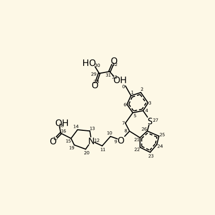 Cc1ccc2c(c1)CC(OCCN1CCC(C(=O)O)CC1)c1ccccc1S2.O=C(O)C(=O)O